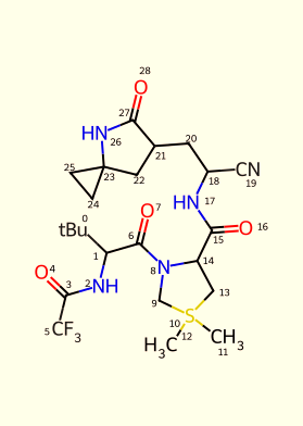 CC(C)(C)C(NC(=O)C(F)(F)F)C(=O)N1CS(C)(C)CC1C(=O)NC(C#N)CC1CC2(CC2)NC1=O